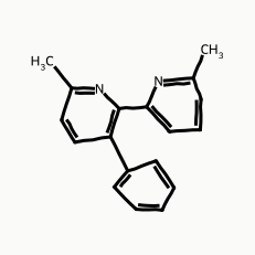 Cc1cccc(-c2nc(C)ccc2-c2ccccc2)n1